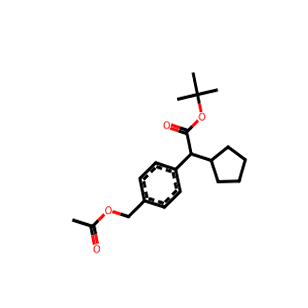 CC(=O)OCc1ccc(C(C(=O)OC(C)(C)C)C2CCCC2)cc1